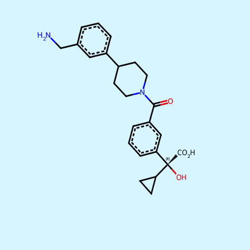 NCc1cccc(C2CCN(C(=O)c3cccc([C@@](O)(C(=O)O)C4CC4)c3)CC2)c1